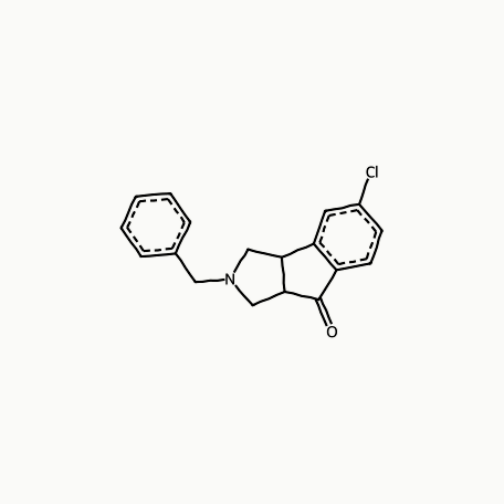 O=C1c2ccc(Cl)cc2C2CN(Cc3ccccc3)CC12